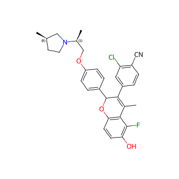 CC1=C(c2ccc(C#N)c(Cl)c2)C(c2ccc(OC[C@H](C)N3CC[C@@H](C)C3)cc2)Oc2ccc(O)c(F)c21